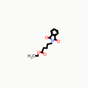 CCOC(=O)CCCCN1C(=O)c2ccccc2C1=O